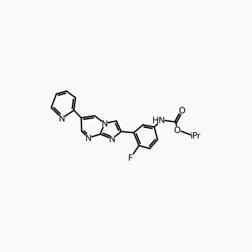 CC(C)OC(=O)Nc1ccc(F)c(-c2cn3cc(-c4ccccn4)cnc3n2)c1